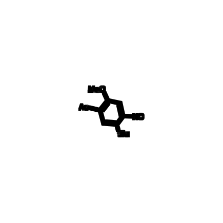 COc1cc(N=O)c(C(C)(C)C)cc1C(C)=O